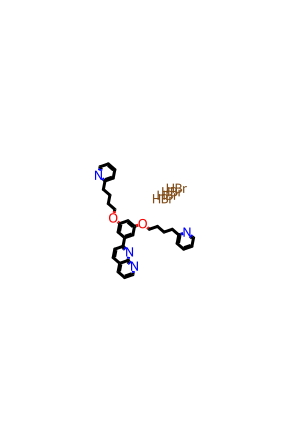 Br.Br.Br.Br.c1ccc(CCCCOc2cc(OCCCCc3ccccn3)cc(-c3ccc4cccnc4n3)c2)nc1